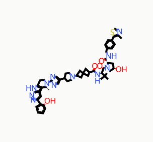 Cc1ncsc1-c1ccc(CNC(=O)[C@@H]2C[C@@H](O)CN2C(=O)[C@@H](NC(=O)C2CC3(C2)CC(N2CCC(c4cnc(N5CCc6[nH]c7nnc(-c8ccccc8O)cc7c6[C@H]5C)nc4)CC2)C3)C(C)(C)C)cc1